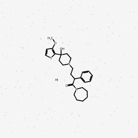 COc1ccsc1C1(O)CCN(CCC(C(=O)N2CCCCCC2)c2ccccc2)CC1.I